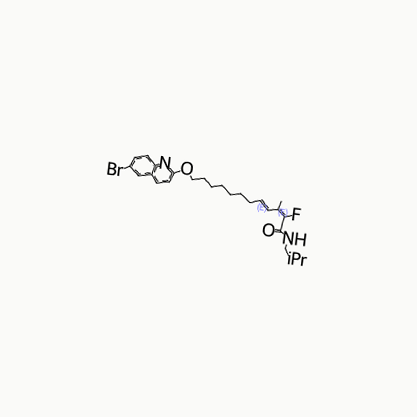 CC(/C=C/CCCCCCCOc1ccc2cc(Br)ccc2n1)=C(\F)C(=O)NCC(C)C